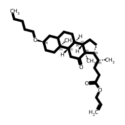 C=CCOC(=O)CC[C@@H](C)[C@H]1CC[C@H]2[C@@H]3CCC4C[C@H](OCCCCC)CC[C@]4(C)[C@H]3CC(=O)[C@]12C